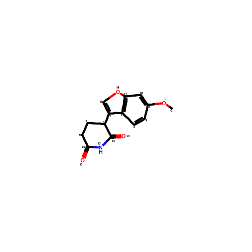 COc1ccc2c(C3CCC(=O)NC3=O)coc2c1